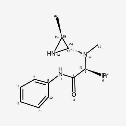 CC(C)[C@@H](C(=O)Nc1ccccc1)N(C)[C@@H]1N[C@H]1C